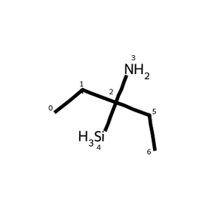 C[CH]C(N)([SiH3])CC